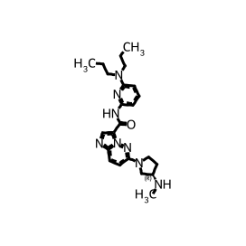 CCCN(CCC)c1cccc(NC(=O)c2cnc3ccc(N4CC[C@@H](NC)C4)nn23)n1